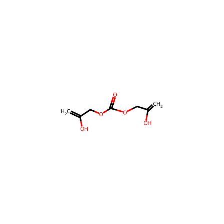 C=C(O)COC(=O)OCC(=C)O